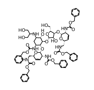 O=C(NC[C@H]1C=C[C@@H](NC(=O)OCc2ccccc2)[C@@H](O[C@H]2[C@@H](O)[C@H](O[C@@H]3[C@@H](O)[C@H](NC(CO)CO)C[C@H](NC(=O)OCc4ccccc4)[C@H]3O[C@H]3O[C@H](CNC(=O)OCc4ccccc4)C=C[C@H]3NC(=O)OCc3ccccc3)O[C@@H]2CO)O1)OCc1ccccc1